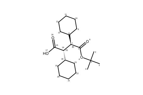 CC(C)(C)OC(=O)[C@H](C1CCCCC1)[C@@H](C(=O)O)C1CCCCC1